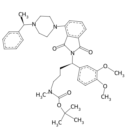 COc1ccc([C@@H](CCCN(C)C(=O)OC(C)(C)C)N2C(=O)c3cccc(N4CCN([C@H](C)c5ccccc5)CC4)c3C2=O)cc1OC